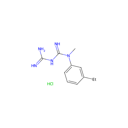 CCc1cccc(N(C)C(=N)NC(=N)N)c1.Cl